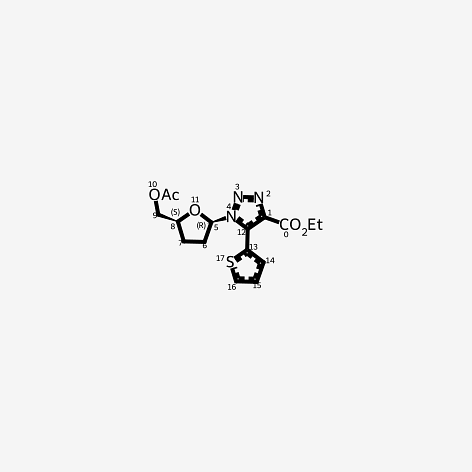 CCOC(=O)c1nnn([C@H]2CC[C@@H](COC(C)=O)O2)c1-c1cccs1